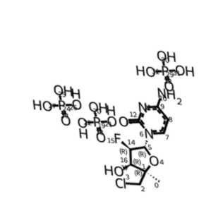 C[C@@]1(CCl)O[C@@H](n2ccc(N)nc2=O)[C@H](F)[C@@H]1O.O=P(O)(O)O.O=P(O)(O)O.O=P(O)(O)O